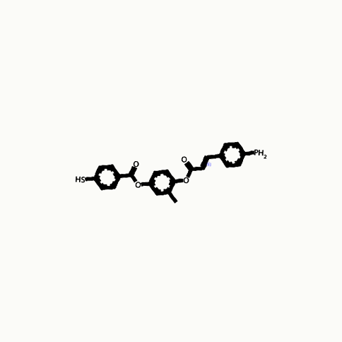 Cc1cc(OC(=O)c2ccc(S)cc2)ccc1OC(=O)/C=C/c1ccc(P)cc1